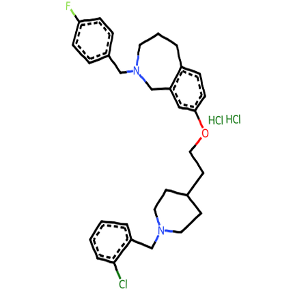 Cl.Cl.Fc1ccc(CN2CCCc3ccc(OCCC4CCN(Cc5ccccc5Cl)CC4)cc3C2)cc1